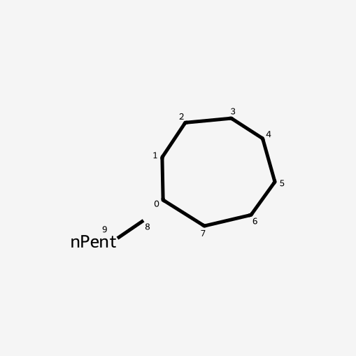 C1CCCCCCC1.CCCCCC